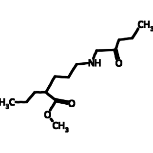 CCCC(=O)CNCCCC(CCC)C(=O)OC